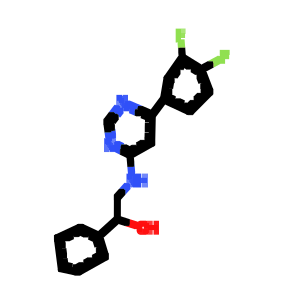 OC(CNc1cc(-c2ccc(F)c(F)c2)ncn1)c1ccccc1